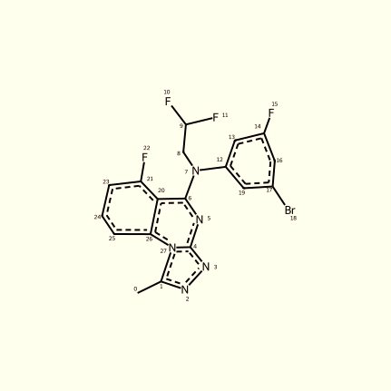 Cc1nnc2nc(N(CC(F)F)c3cc(F)cc(Br)c3)c3c(F)cccc3n12